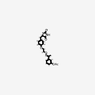 CC(=O)Oc1cccc(C(C)=NOCCOc2ccc(CC3SC(=O)NC3=O)cc2)c1